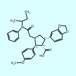 CCC(C)N(C(=O)CN1C[C@H](c2ccc3c(c2)OCO3)[C@H](C(=O)O)[C@H]1c1ccc(OC)cc1)c1ccccc1